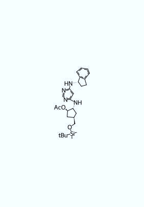 CC(=O)O[C@@H]1C[C@H](CO[Si](C)(C)C(C)(C)C)C[C@H]1Nc1cc(N[C@H]2CCc3ccccc32)ncn1